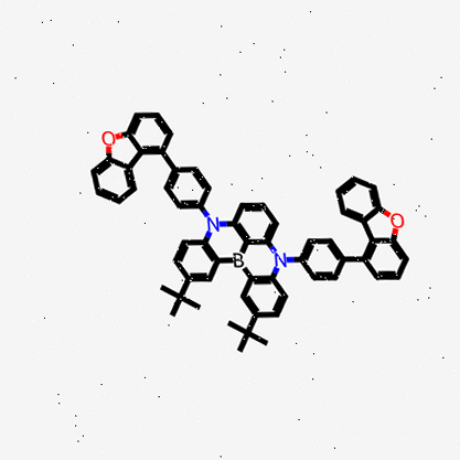 CC(C)(C)c1ccc2c(c1)B1c3cc(C(C)(C)C)ccc3N(c3ccc(-c4cccc5oc6ccccc6c45)cc3)c3cccc(c31)N2c1ccc(-c2cccc3oc4ccccc4c23)cc1